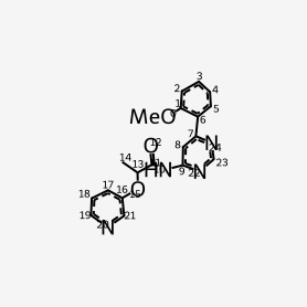 COc1ccccc1-c1cc(NC(=O)C(C)Oc2cccnc2)ncn1